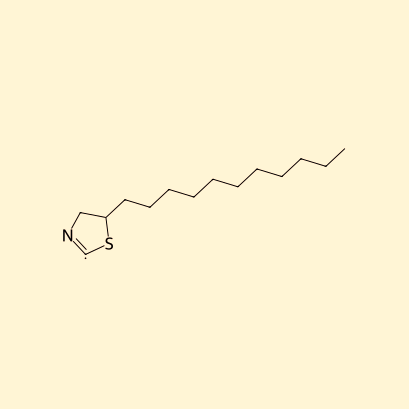 CCCCCCCCCCCC1CN=[C]S1